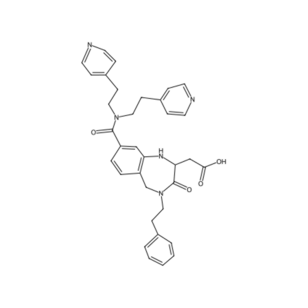 O=C(O)CC1Nc2cc(C(=O)N(CCc3ccncc3)CCc3ccncc3)ccc2CN(CCc2ccccc2)C1=O